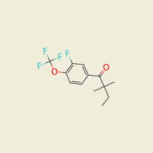 CCC(C)(C)C(=O)c1ccc(OC(F)(F)F)c(F)c1